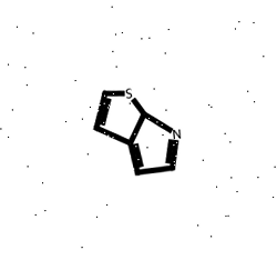 [C]1=CC2=CC=NC2S1